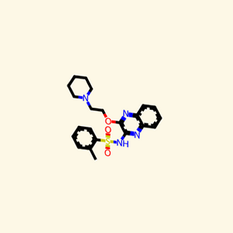 Cc1ccccc1S(=O)(=O)Nc1nc2ccccc2nc1OCCN1CCCCC1